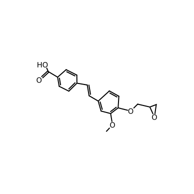 COc1cc(C=Cc2ccc(C(=O)O)cc2)ccc1OCC1CO1